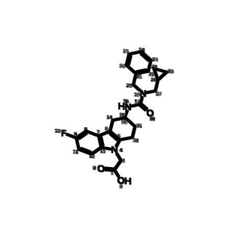 O=C(O)Cn1c2c(c3cc(F)ccc31)C[C@@H](NC(=O)N(Cc1ccccc1)CC1CC1)CC2